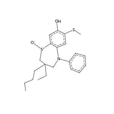 CCCCC1(CC)CN(c2ccccc2)c2cc(SC)c(O)cc2[S+]([O-])C1